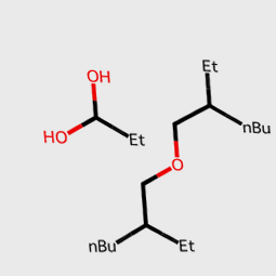 CCC(O)O.CCCCC(CC)COCC(CC)CCCC